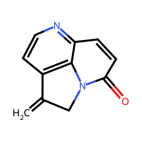 C=C1Cn2c(=O)ccc3nccc1c32